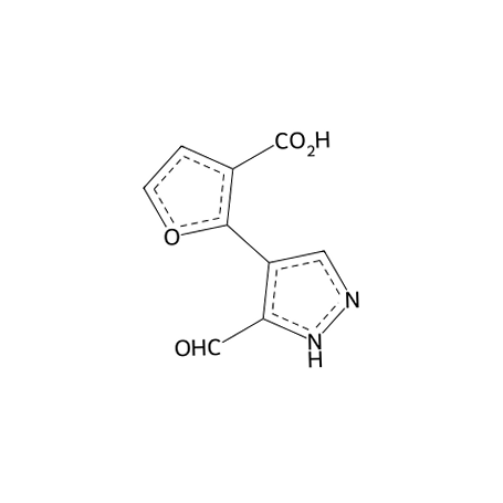 O=Cc1[nH]ncc1-c1occc1C(=O)O